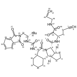 C#CCCC(NC(=O)[C@@H]1[C@H]2CCC[C@H]2CN1C(=O)[C@@H](NC(=O)N[C@H](CN1C(=O)c2ccccc2C1=O)C(C)(C)C)C1CCCCC1)C(=O)C(=O)NCC=C